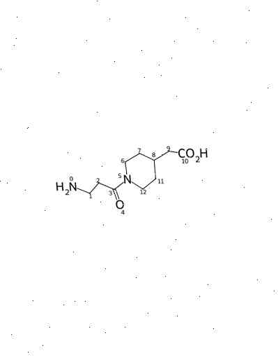 NCCC(=O)N1CCC(CC(=O)O)CC1